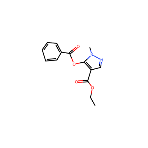 CCOC(=O)c1cnn(C)c1OC(=O)c1ccccc1